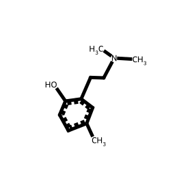 Cc1ccc(O)c(CCN(C)C)c1